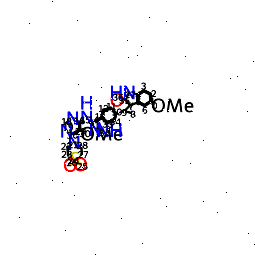 COc1ccc2c(c1)[C@]1(C[C@H]1c1ccc3c(Nc4ncnc(N5CCS(=O)(=O)CC5)c4OC)n[nH]c3c1)C(=O)N2